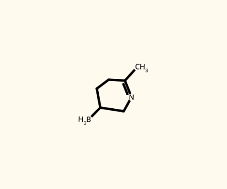 BC1CCC(C)=NC1